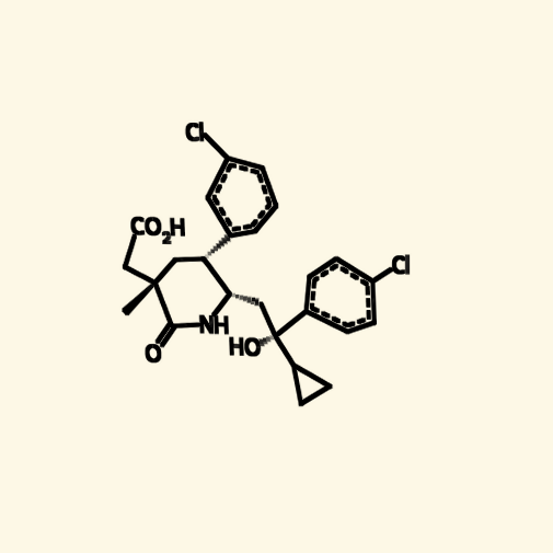 C[C@@]1(CC(=O)O)C[C@H](c2cccc(Cl)c2)[C@H](C[C@@](O)(c2ccc(Cl)cc2)C2CC2)NC1=O